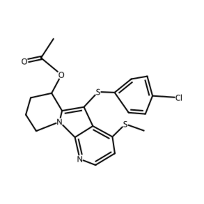 CSc1ccnc2c1c(Sc1ccc(Cl)cc1)c1n2CCCC1OC(C)=O